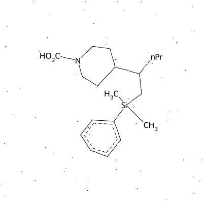 CCCC(C[Si](C)(C)c1ccccc1)C1CCN(C(=O)O)CC1